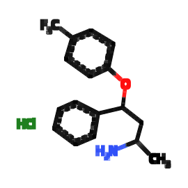 CC(N)CC(Oc1ccc(C(F)(F)F)cc1)c1ccccc1.Cl